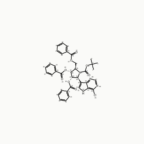 CC(C)(C)OC(=O)N1[C@H](COC(=O)c2ccccc2)[C@@H](OC(=O)c2ccccc2)[C@@H](OC(=O)c2ccccc2)[C@@H]1c1c[nH]c2c(Cl)ncnc12